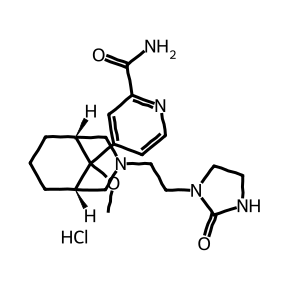 COC1(c2ccnc(C(N)=O)c2)[C@@H]2CCC[C@H]1CN(CCN1CCNC1=O)C2.Cl